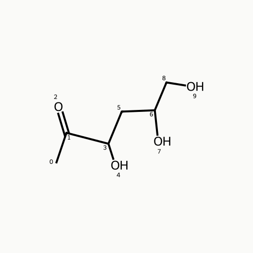 CC(=O)C(O)CC(O)CO